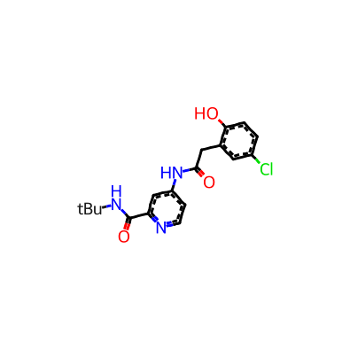 CC(C)(C)NC(=O)c1cc(NC(=O)Cc2cc(Cl)ccc2O)ccn1